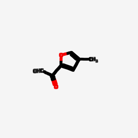 Cc1coc(C(=O)C=O)c1